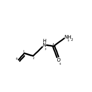 C=CCNC(N)=O